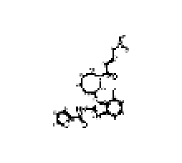 Cc1cccc2nc(NC(=O)c3ccco3)n(C3CCCCN(C(=O)/C=C/CN(C)C)C3)c12